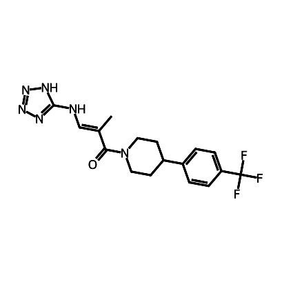 C/C(=C\Nc1nnn[nH]1)C(=O)N1CCC(c2ccc(C(F)(F)F)cc2)CC1